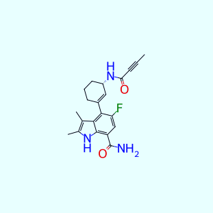 CC#CC(=O)N[C@@H]1C=C(c2c(F)cc(C(N)=O)c3[nH]c(C)c(C)c23)CCC1